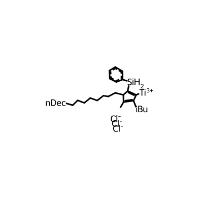 CCCCCCCCCCCCCCCCCCC1C(C)=C(C(C)CC)[C]([Ti+3])=C1[SiH2]c1ccccc1.[Cl-].[Cl-].[Cl-]